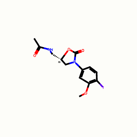 COc1cc(N2C[C@H](CNC(C)=O)OC2=O)ccc1I